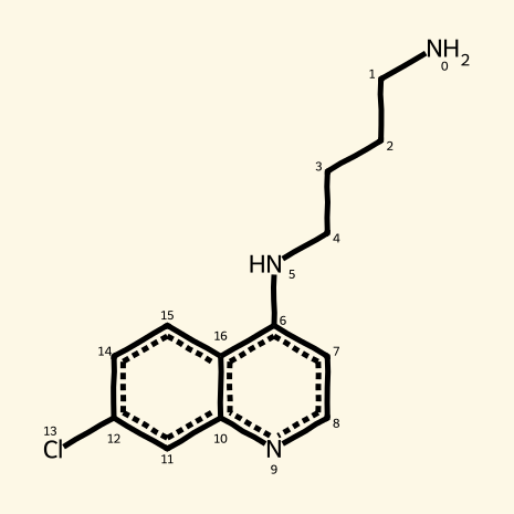 NCCCCNc1ccnc2cc(Cl)ccc12